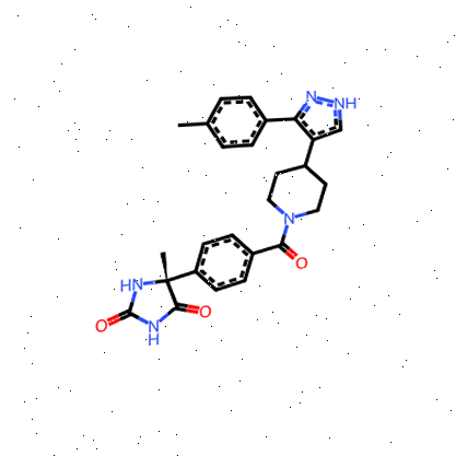 Cc1ccc(-c2n[nH]cc2C2CCN(C(=O)c3ccc([C@@]4(C)NC(=O)NC4=O)cc3)CC2)cc1